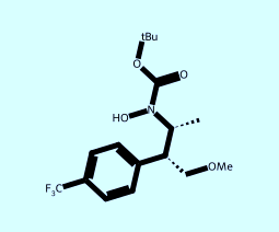 COC[C@H](c1ccc(C(F)(F)F)cc1)[C@@H](C)N(O)C(=O)OC(C)(C)C